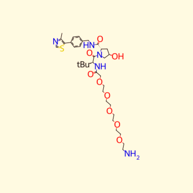 Cc1ncsc1-c1ccc(CNC(=O)[C@@H]2C[C@@H](O)CN2C(=O)[C@@H](NC(=O)COCCOCCOCCOCCOCCN)C(C)(C)C)cc1